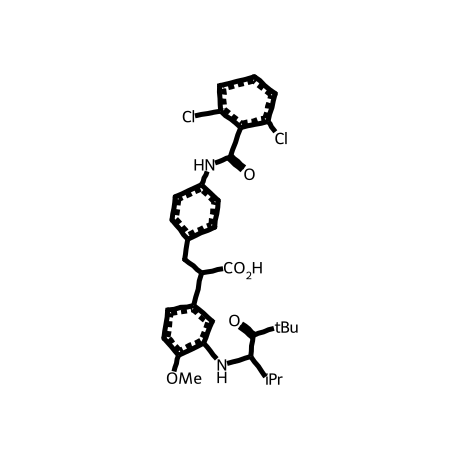 COc1ccc(C(Cc2ccc(NC(=O)c3c(Cl)cccc3Cl)cc2)C(=O)O)cc1NC(C(=O)C(C)(C)C)C(C)C